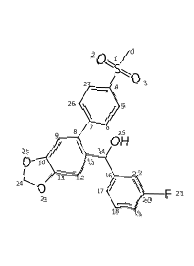 CS(=O)(=O)c1ccc(-c2cc3c(cc2C(O)c2cccc(F)c2)OCO3)cc1